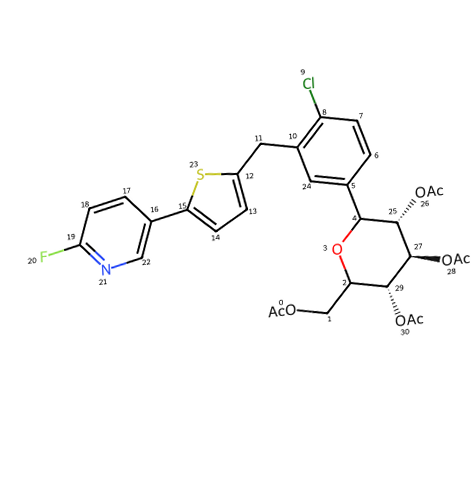 CC(=O)OCC1OC(c2ccc(Cl)c(Cc3ccc(-c4ccc(F)nc4)s3)c2)[C@H](OC(C)=O)[C@@H](OC(C)=O)[C@@H]1OC(C)=O